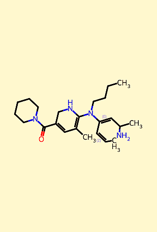 C/C=C\C(=C/C(C)N)N(CCCC)C1=C(C)C=C(C(=O)N2CCCCC2)CN1